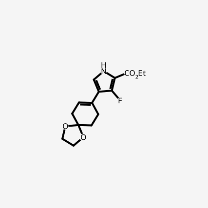 CCOC(=O)c1[nH]cc(C2=CCC3(CC2)OCCO3)c1F